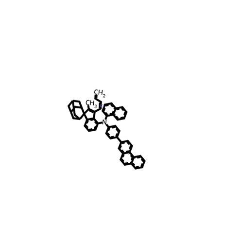 C=C/C=C\C1=C(C)C2(c3cccc(N(c4ccc(-c5ccc6c(ccc7ccccc76)c5)cc4)c4cccc5ccccc45)c31)C1CC3CC(C1)CC2C3